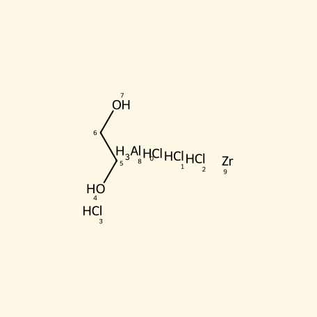 Cl.Cl.Cl.Cl.OCCO.[AlH3].[Zr]